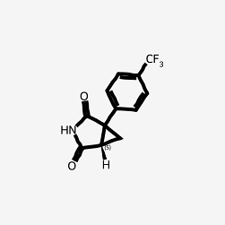 O=C1NC(=O)C2(c3ccc(C(F)(F)F)cc3)C[C@H]12